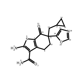 NC(=O)c1c(N)sc2c1CCC(CC1CC1)(c1cnco1)C2=O